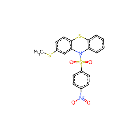 CSc1ccc2c(c1)N(S(=O)(=O)c1ccc([N+](=O)[O-])cc1)c1ccccc1S2